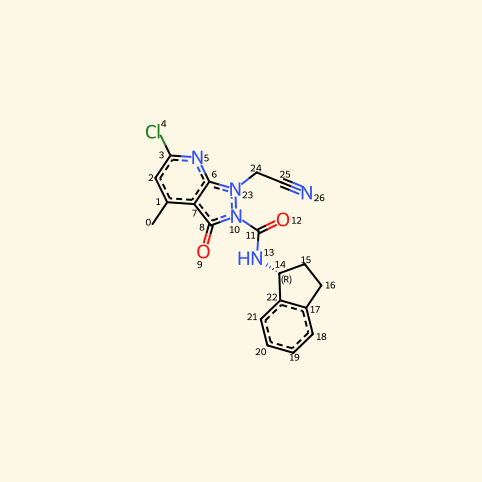 Cc1cc(Cl)nc2c1c(=O)n(C(=O)N[C@@H]1CCc3ccccc31)n2CC#N